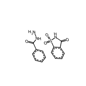 NNC(=O)c1ccccc1.O=C1NS(=O)(=O)c2ccccc21